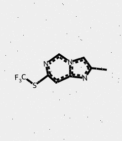 Cc1cn2cnc(SC(F)(F)F)cc2n1